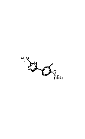 CCCCOc1ccc(-c2csc(N)n2)cc1C